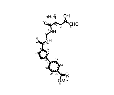 CCCCCC[C@H](CN(O)C=O)C(=O)NCNC(=O)c1ccc(-c2ccc(C(=O)OC)cc2)o1